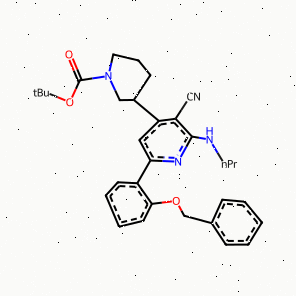 CCCNc1nc(-c2ccccc2OCc2ccccc2)cc(C2CCCN(C(=O)OC(C)(C)C)C2)c1C#N